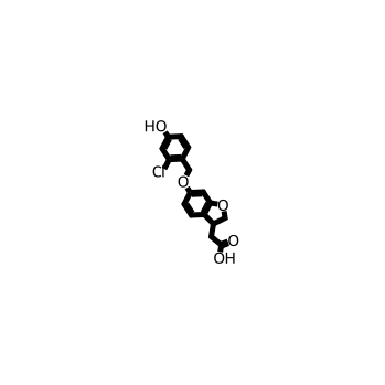 O=C(O)CC1COc2cc(OCc3ccc(O)cc3Cl)ccc21